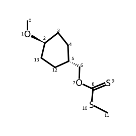 CO[C@H]1CC[C@H](COC(=S)SC)CC1